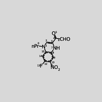 CCCN1C=C(C(=O)C=O)Nc2cc([N+](=O)[O-])c(F)cc21